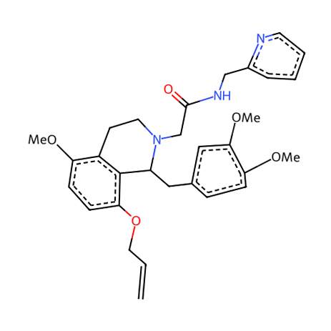 C=CCOc1ccc(OC)c2c1C(Cc1ccc(OC)c(OC)c1)N(CC(=O)NCc1ccccn1)CC2